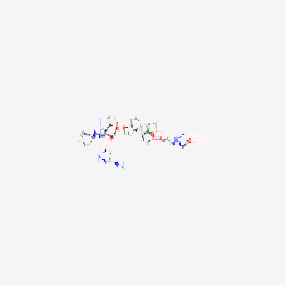 N#Cc1cncc(COc2cc(O[C@H]3CCc4c(-c5cccc(OCCCN6CCC(O)CC6)c5Cl)cccc43)c(Cl)cc2CNC2CCCCC2)c1